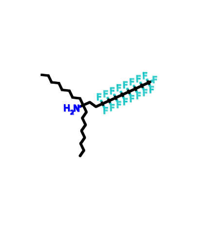 CCCCCCCCC(N)(CCCCCCCC)CCC(F)(F)C(F)(F)C(F)(F)C(F)(F)C(F)(F)C(F)(F)C(F)(F)C(F)(F)F